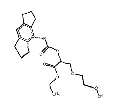 CCOC(=O)C(COCCOC)OC(=O)Nc1c2c(cc3c1CCC3)CCC2